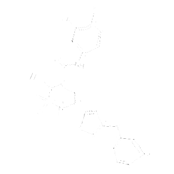 CN1[C@H](C(=O)Nc2ccc(F)c(Cl)c2)C[C@H](c2cc(Cc3ccccc3)cs2)NS1(=O)=O